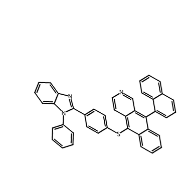 c1ccc(-n2c(-c3ccc(Sc4c5ccccc5c(-c5cccc6ccccc56)c5cnccc45)cc3)nc3ccccc32)cc1